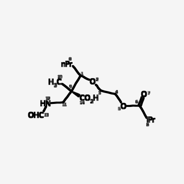 CCCC(OCCOC(=O)C(C)C)[C@@](C)(CNC=O)C(=O)O